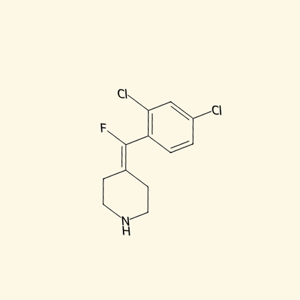 FC(=C1CCNCC1)c1ccc(Cl)cc1Cl